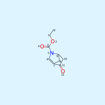 CCOC(=O)N1C=C2CC1CC2=O